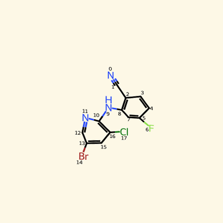 N#Cc1ccc(F)cc1Nc1ncc(Br)cc1Cl